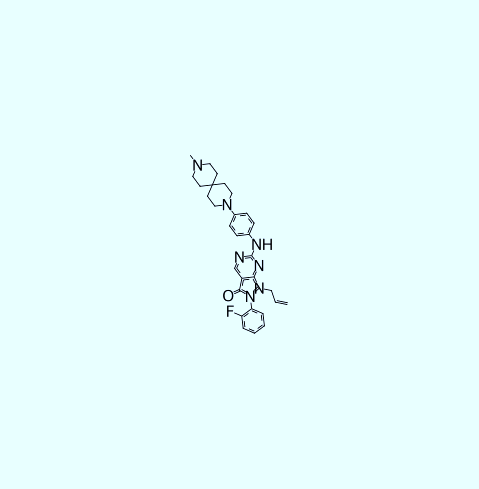 C=CCn1c2nc(Nc3ccc(N4CCC5(CCN(C)CC5)CC4)cc3)ncc2c(=O)n1-c1ccccc1F